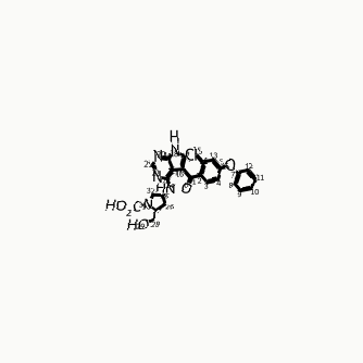 O=C(c1ccc(Oc2ccccc2)cc1Cl)c1c[nH]c2ncnc(N[C@@H]3C[C@@H](CO)N(C(=O)O)C3)c12